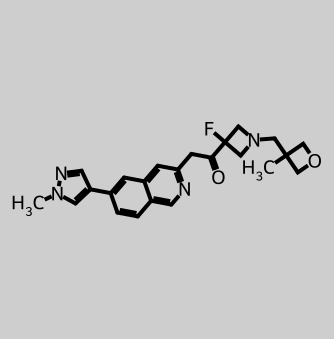 Cn1cc(-c2ccc3cnc(CC(=O)C4(F)CN(CC5(C)COC5)C4)cc3c2)cn1